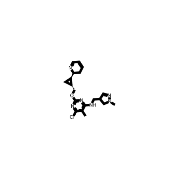 Cc1c(Cl)nc(OC[C@@H]2C[C@H]2C2CC=CC=N2)nc1NCC1C=NN(C)C1